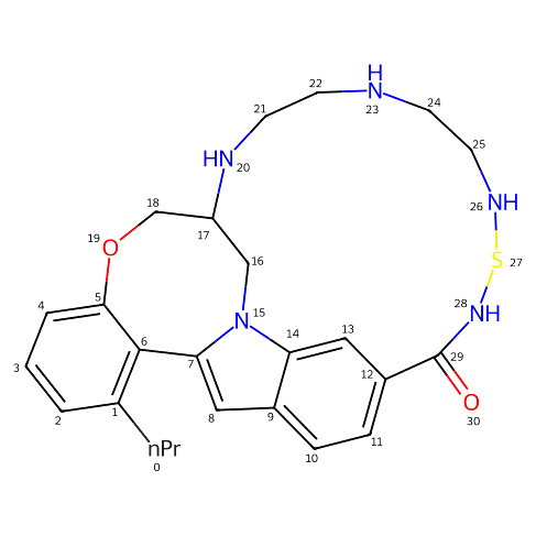 CCCc1cccc2c1-c1cc3ccc4cc3n1CC(CO2)NCCNCCNSNC4=O